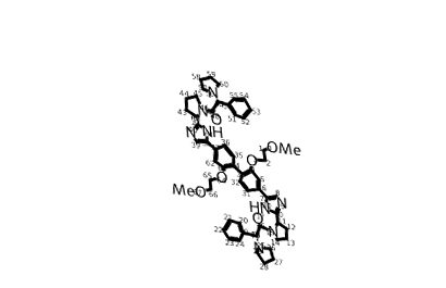 COCCOc1cc(-c2cnc(C3CCCN3C(=O)[C@@H](c3ccccc3)N3CCCC3)[nH]2)ccc1-c1ccc(-c2cnc([C@@H]3CCCN3C(=O)[C@@H](c3ccccc3)N3CCCC3)[nH]2)cc1OCCOC